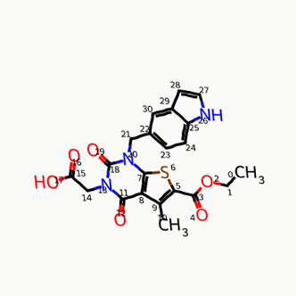 CCOC(=O)c1sc2c(c1C)c(=O)n(CC(=O)O)c(=O)n2Cc1ccc2[nH]ccc2c1